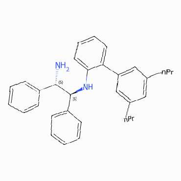 CCCc1cc(CCC)cc(-c2ccccc2N[C@@H](c2ccccc2)[C@@H](N)c2ccccc2)c1